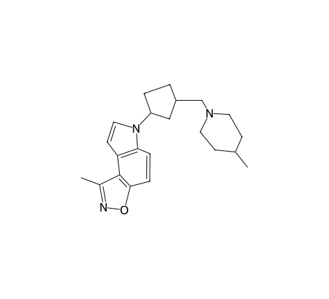 Cc1noc2ccc3c(ccn3C3CCC(CN4CCC(C)CC4)C3)c12